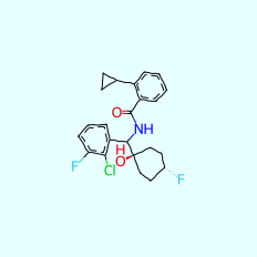 O=C(NC(c1cccc(F)c1Cl)[C@]1(O)CC[C@H](F)CC1)c1ccccc1C1CC1